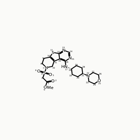 COC(=O)CS(=O)(=O)N1CCc2sc3ncnc(N[C@H]4CC[C@H](N5CCOCC5)CC4)c3c2C1